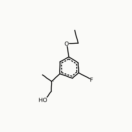 CCOc1cc(F)cc([C](C)CO)c1